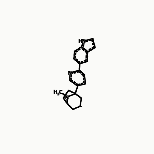 CN1C2C[CH]CC1(c1ccc(-c3ccc4[nH]ccc4c3)nc1)CC2